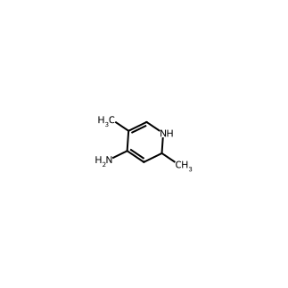 CC1=CNC(C)C=C1N